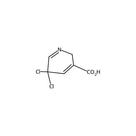 O=C(O)C1=CC(Cl)(Cl)C=NC1